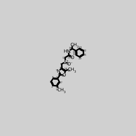 Cc1cccc(-c2nc(C[S+]([O-])CC(=O)NC(C)c3ccccc3)c(C)o2)c1